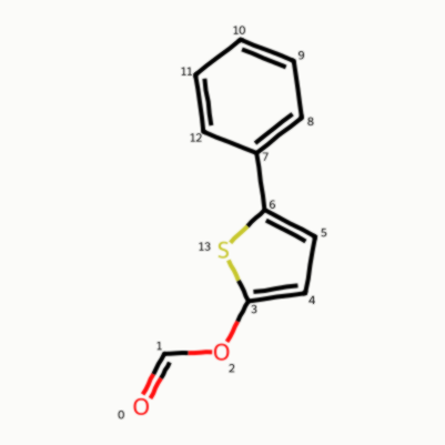 O=COc1ccc(-c2ccccc2)s1